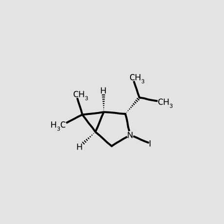 CC(C)[C@H]1[C@H]2[C@@H](CN1I)C2(C)C